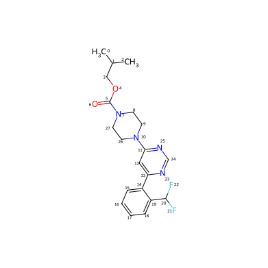 CC(C)COC(=O)N1CCN(c2cc(-c3ccccc3C(F)F)ncn2)CC1